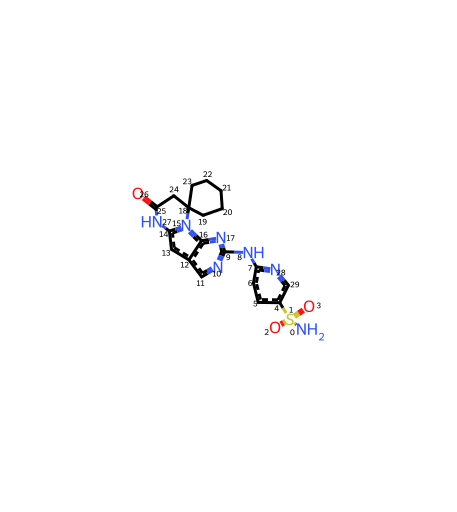 NS(=O)(=O)c1ccc(Nc2ncc3cc4n(c3n2)C2(CCCCC2)CC(=O)N4)nc1